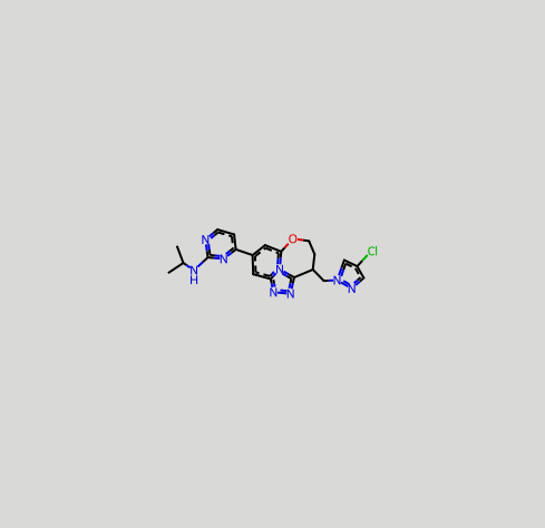 CC(C)Nc1nccc(-c2cc3n4c(nnc4c2)C(Cn2cc(Cl)cn2)CCO3)n1